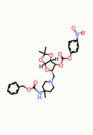 CC1(NC(=O)OCc2ccccc2)CCN(C[C@H]2O[C@@H]3OC(C)(C)O[C@@H]3[C@H]2OC(=O)Oc2ccc([N+](=O)[O-])cc2)CC1